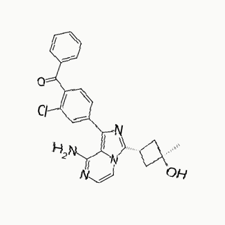 C[C@]1(O)C[C@H](c2nc(-c3ccc(C(=O)c4ccccc4)c(Cl)c3)c3c(N)nccn32)C1